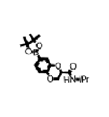 CC(C)NC(=O)C1COc2ccc(B3OC(C)(C)C(C)(C)O3)cc2O1